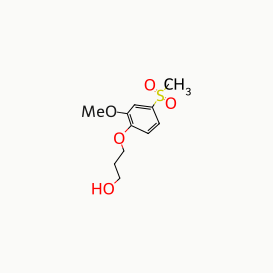 COc1cc(S(C)(=O)=O)ccc1OCCCO